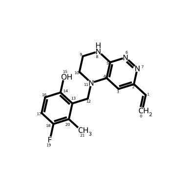 C=Cc1cc2c(nn1)NCCN2Cc1c(O)ccc(F)c1C